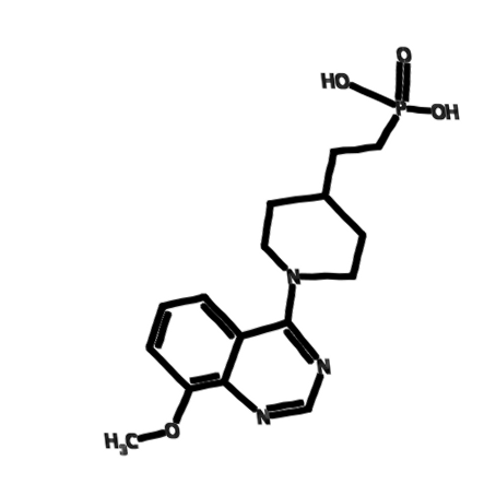 COc1cccc2c(N3CCC(CCP(=O)(O)O)CC3)ncnc12